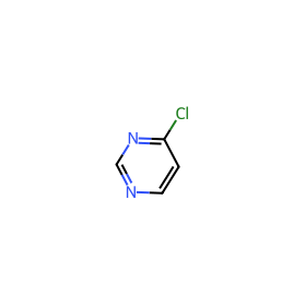 Clc1ccncn1